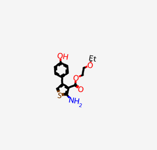 CCOCCOC(=O)c1c(-c2ccc(O)cc2)csc1N